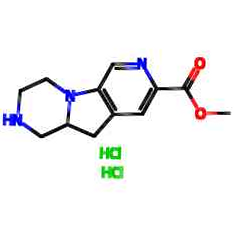 COC(=O)c1cc2c(cn1)N1CCNCC1C2.Cl.Cl